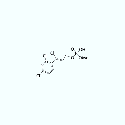 COP(=O)(O)OCC=C(Cl)c1ccc(Cl)cc1Cl